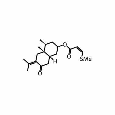 CS/C=C\C(=O)O[C@H]1C[C@@H]2CC(=O)C(=C(C)C)C[C@]2(C)[C@@H](C)C1